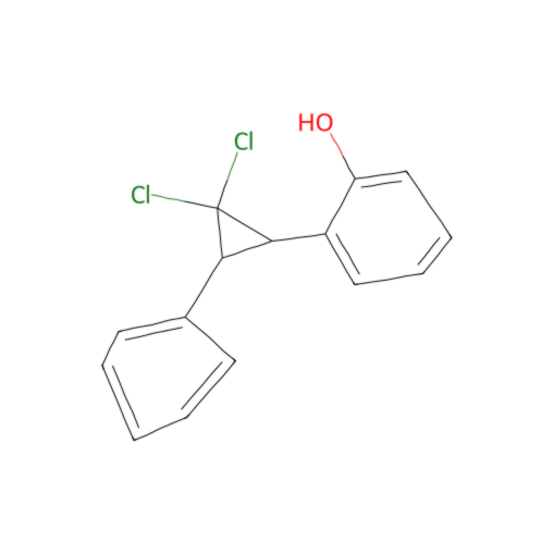 Oc1ccccc1C1C(c2ccccc2)C1(Cl)Cl